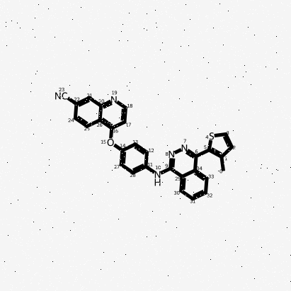 Cc1ccsc1-c1nnc(Nc2ccc(Oc3ccnc4cc(C#N)ccc34)cc2)c2ccccc12